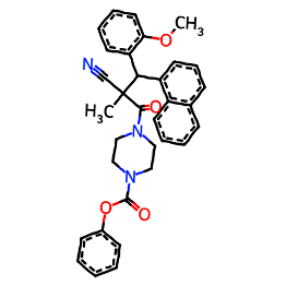 COc1ccccc1C(c1cccc2ccccc12)C(C)(C#N)C(=O)N1CCN(C(=O)Oc2ccccc2)CC1